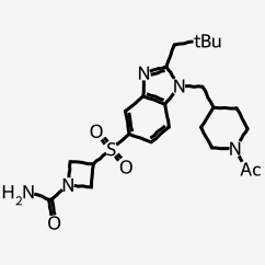 CC(=O)N1CCC(Cn2c(CC(C)(C)C)nc3cc(S(=O)(=O)C4CN(C(N)=O)C4)ccc32)CC1